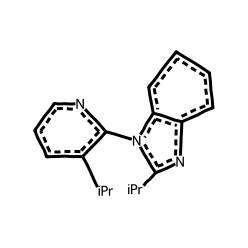 CC(C)c1cccnc1-n1c(C(C)C)nc2ccccc21